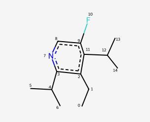 CCc1c(C(C)C)ncc(F)c1C(C)C